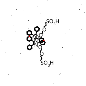 O=S(=O)(O)CCCOCCOc1ccccc1-c1nc(-c2ccccc2)c(-c2ccccc2)n1C1(c2ccccc2OCCOCCCS(=O)(=O)O)N=C(c2ccccc2)C(c2ccccc2)=N1